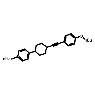 CCCCCCc1ccc(C2CCC(C#Cc3ccc(OCCCC)cc3)CC2)cc1